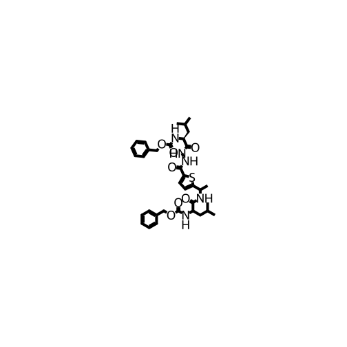 CC(C)CC(NC(=O)OCc1ccccc1)C(=O)NC(C)c1ccc(C(=O)NNC(=O)[C@H](CC(C)C)NC(=O)OCc2ccccc2)s1